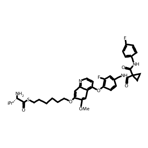 COc1cc2c(Oc3ccc(NC(=O)C4(C(=O)Nc5ccc(F)cc5)CC4)cc3F)ccnc2cc1OCCCCCCSC(=O)[C@@H](N)C(C)C